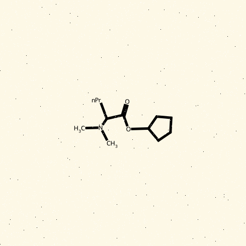 CCCC(C(=O)OC1CCCC1)N(C)C